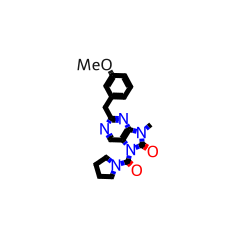 COc1cccc(Cc2ncc3c(n2)n(C)c(=O)n3C(=O)N2CCCC2)c1